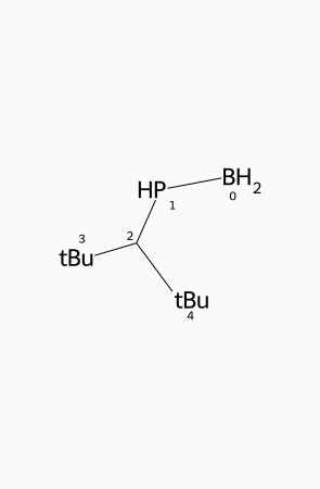 BPC(C(C)(C)C)C(C)(C)C